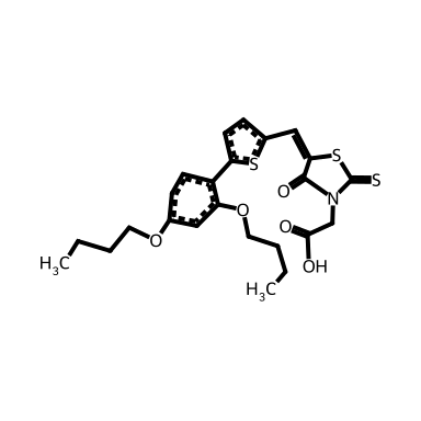 CCCCOc1ccc(-c2ccc(C=C3SC(=S)N(CC(=O)O)C3=O)s2)c(OCCCC)c1